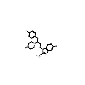 Cc1nc2cc(F)ccc2n1CCC(Cc1ccc(F)cc1)N1CCNCC1